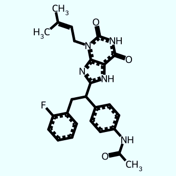 CC(=O)Nc1ccc(C(Cc2ccccc2F)c2nc3c([nH]2)c(=O)[nH]c(=O)n3CC=C(C)C)cc1